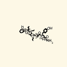 CCCO[C@H](C[C@H](C(C)C)N(CCC)C(=O)[C@@H](NC(=O)[C@H]1CCCCN1)[C@@H](C)CC)c1nc(C(=O)N[C@@H](Cc2ccc(O)cc2)C[C@H](C)C(=O)NN)cs1